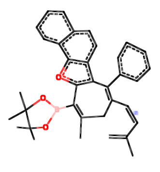 C=C(C)/C=C\C1=C(c2ccccc2)c2c(oc3c2ccc2ccccc23)C(B2OC(C)(C)C(C)(C)O2)=C(C)C1